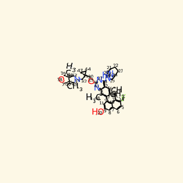 C#Cc1c(F)ccc2cc(O)cc(-c3c(C)cc4c(N5CC6CCC(C5)N6)nc(OCC5(CN6C[C@@]7(C)COC[C@]7(C)C6)CC5)nc4c3C)c12